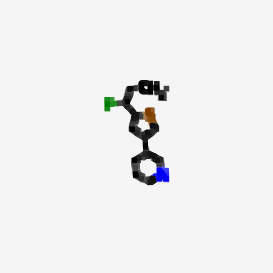 [CH2]/C=C(/F)c1cc(-c2cccnc2)cs1